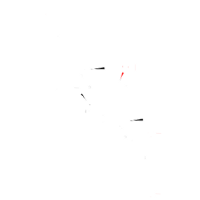 CC1=C[C@H]2[C@@H]3CC[C@](O)(C(=O)CO)[C@@]3(C)C[C@H](O)[C@]2(F)[C@@]2(C)CCC(=O)C=C12